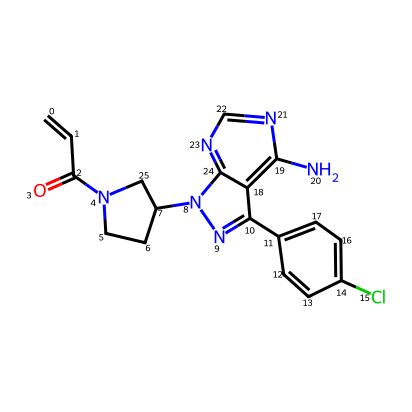 C=CC(=O)N1CCC(n2nc(-c3ccc(Cl)cc3)c3c(N)ncnc32)C1